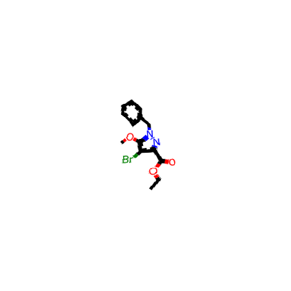 CCOC(=O)c1nn(Cc2ccccc2)c(OC)c1Br